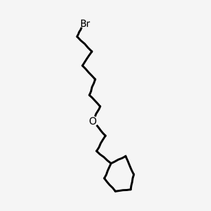 BrCCCCCCOCCC1CCCCC1